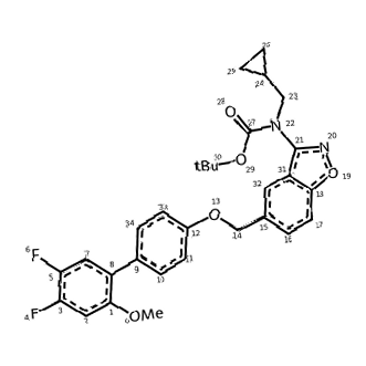 COc1cc(F)c(F)cc1-c1ccc(OCc2ccc3onc(N(CC4CC4)C(=O)OC(C)(C)C)c3c2)cc1